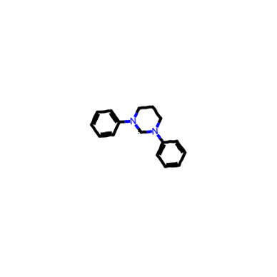 [C]1N(c2ccccc2)CCCN1c1ccccc1